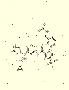 O=C(O)NCc1cccc(-n2nc(C(F)(F)F)cc2C(=O)Nc2cccc(C(NCC3CC3)c3cn[nH]c3)c2)c1